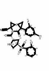 N#CC1(N(C(=O)[C@@H]2C[C@@H](S(=O)(=O)c3ccccc3Cl)CN2)C(=O)C2(c3ccc(Cl)cc3F)CC2)CC1